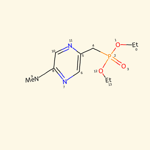 CCOP(=O)(Cc1cnc(NC)cn1)OCC